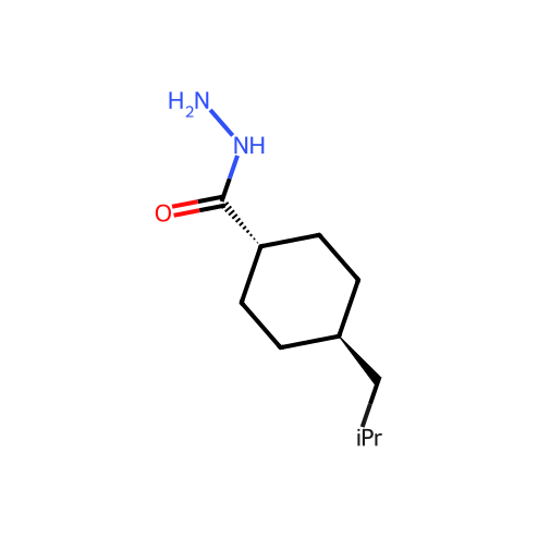 CC(C)C[C@H]1CC[C@H](C(=O)NN)CC1